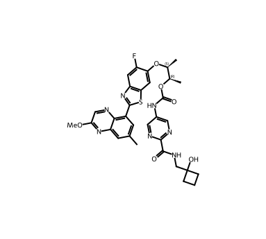 COc1cnc2c(-c3nc4cc(F)c(O[C@@H](C)[C@@H](C)OC(=O)Nc5cnc(C(=O)NCC6(O)CCC6)nc5)cc4s3)cc(C)cc2n1